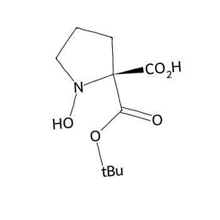 CC(C)(C)OC(=O)[C@@]1(C(=O)O)CCCN1O